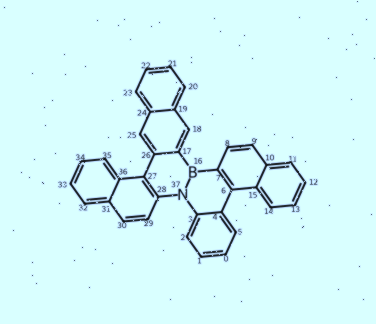 c1ccc2c(c1)-c1c(ccc3ccccc13)B1c3cc4ccccc4cc3-c3c(ccc4ccccc34)N12